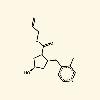 C=CCOC(=O)N1C[C@H](O)C[C@H]1Cc1ccncc1C